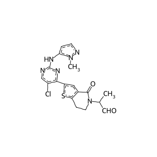 CC(C=O)N1CCc2sc(-c3nc(Nc4ccnn4C)ncc3Cl)cc2C1=O